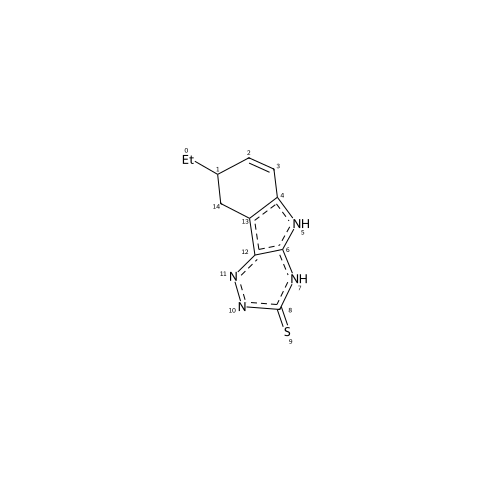 CCC1C=Cc2[nH]c3[nH]c(=S)nnc3c2C1